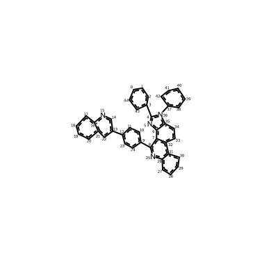 c1ccc(-c2nc3c4c(-c5ccc(-c6cnc7ccccc7c6)cc5)nc5ccccc5c4ccc3n2-c2ccccc2)cc1